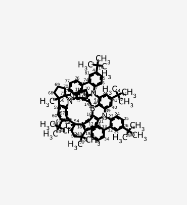 CC(C)(C)c1ccc(N2c3ccc4cc3B3c5cc6c(cc5N(c5ccc(C(C)(C)C)cc5-c5ccccc5)c5cc(C(C)(C)C)cc2c53)C(C)(C)CCC6(C)c2cc3c(cc2C(C)(C)C)C2(C)CCCC2(C)N43)c(-c2ccccc2)c1